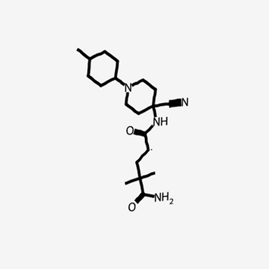 CC1CCC(N2CCC(C#N)(NC(=O)[CH]CC(C)(C)C(N)=O)CC2)CC1